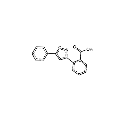 O=C(O)c1ccccc1-c1cc(-c2ccccc2)on1